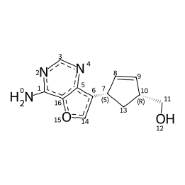 Nc1ncnc2c([C@@H]3C=C[C@H](CO)C3)coc12